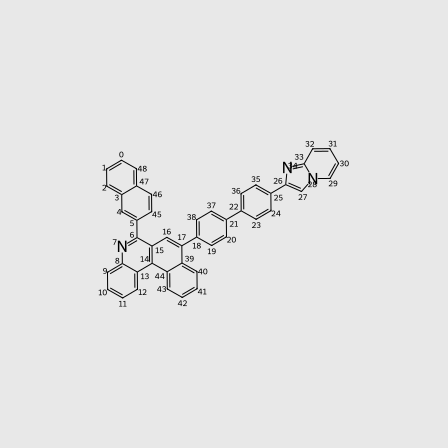 c1ccc2cc(-c3nc4ccccc4c4c3cc(-c3ccc(-c5ccc(-c6cn7ccccc7n6)cc5)cc3)c3ccccc34)ccc2c1